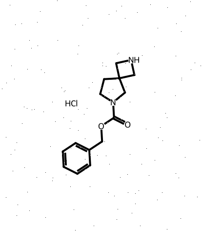 Cl.O=C(OCc1ccccc1)N1CCC2(CNC2)C1